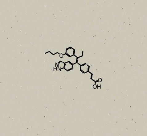 CCCCOc1cccc(C(CC)=C(c2ccc(C=CC(=O)O)cc2)c2ccc3[nH]ncc3c2)c1